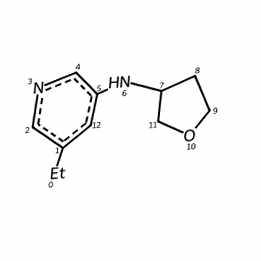 CCc1cncc(NC2CCOC2)c1